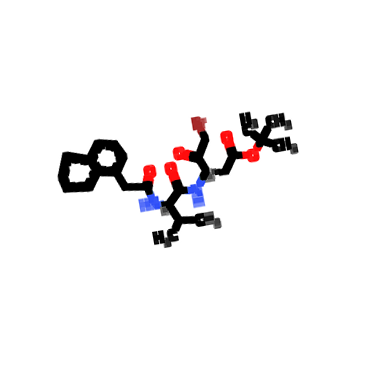 CC(C)[C@H](NC(=O)Cc1cccc2ccccc12)C(=O)N[C@@H](CC(=O)OC(C)(C)C)C(=O)CBr